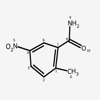 Cc1ccc([N+](=O)[O-])cc1C(N)=O